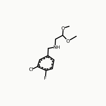 COC(CNCc1ccc(F)c(Cl)c1)OC